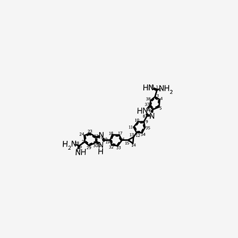 N=C(N)c1ccc2nc(-c3ccc(C4CC4c4ccc(-c5nc6ccc(C(=N)N)cc6[nH]5)cc4)cc3)[nH]c2c1